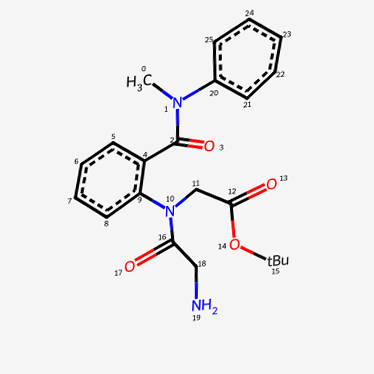 CN(C(=O)c1ccccc1N(CC(=O)OC(C)(C)C)C(=O)CN)c1ccccc1